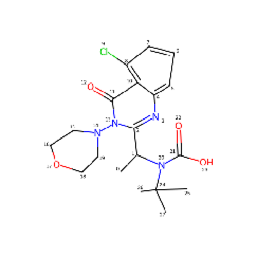 CC(c1nc2cccc(Cl)c2c(=O)n1N1CCOCC1)N(C(=O)O)C(C)(C)C